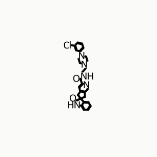 O=C(NCCN1CCN(c2cccc(Cl)c2)CC1)c1cc2c(cn1)CC1(C2)C(=O)Nc2ccccc21